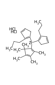 CCCC1=[C]([Zr]([C]2=C(CCC)C=CC2)[C]2=C(C)C(C)=C(C)C2(C)C)CC=C1.Cl.Cl